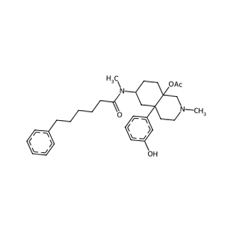 CC(=O)OC12CCC(N(C)C(=O)CCCCCc3ccccc3)CC1(c1cccc(O)c1)CCN(C)C2